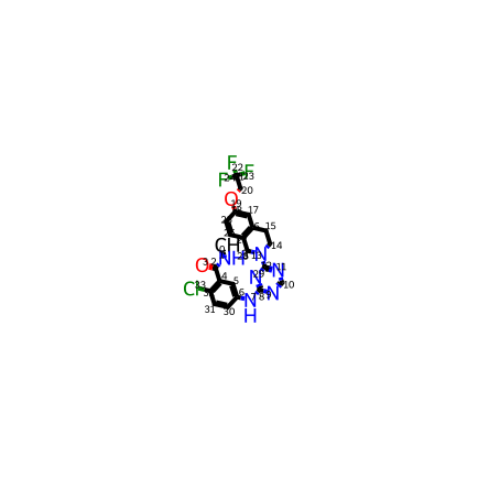 CNC(=O)c1cc(Nc2ncnc(N3CCc4cc(OCC(F)(F)F)ccc4C3)n2)ccc1Cl